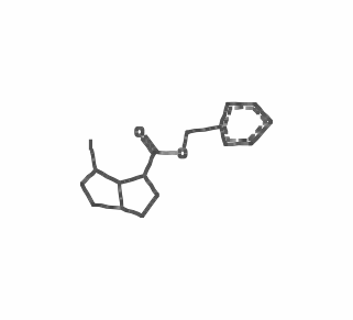 O=C(OCc1ccccc1)C1CCC2CCC(I)C21